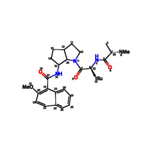 CN[C@@H](C)C(=O)N[C@H](C(=O)N1CCC2CCC(NC(=O)c3c(OC)ccc4ccccc34)C21)C(C)(C)C